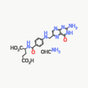 NC=O.Nc1nc2ncc(CNc3ccc(C(=O)NC(CCC(=O)O)C(=O)O)cc3)nc2c(=O)[nH]1